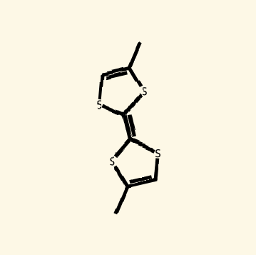 CC1=CSC(=C2SC=C(C)S2)S1